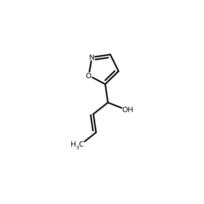 CC=CC(O)c1ccno1